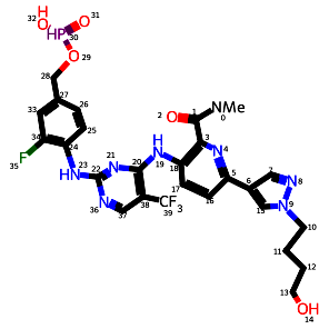 CNC(=O)c1nc(-c2cnn(CCCCO)c2)ccc1Nc1nc(Nc2ccc(CO[PH](=O)O)cc2F)ncc1C(F)(F)F